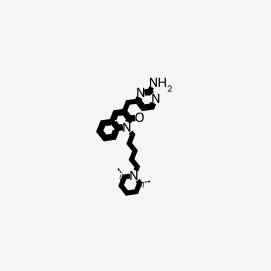 C[C@@H]1CCC[C@H](C)N1CCCCCn1c(=O)c(Cc2ccnc(N)n2)cc2ccccc21